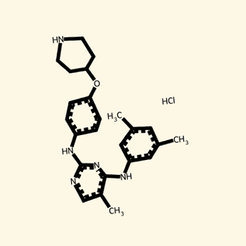 Cc1cc(C)cc(Nc2nc(Nc3ccc(OC4CCNCC4)cc3)ncc2C)c1.Cl